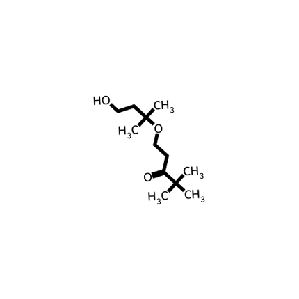 CC(C)(CCO)OCCC(=O)C(C)(C)C